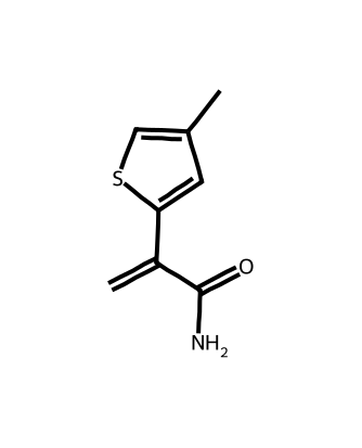 C=C(C(N)=O)c1cc(C)cs1